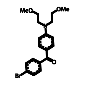 COCCN(CCOC)c1ccc(C(=O)c2ccc(Br)cc2)cc1